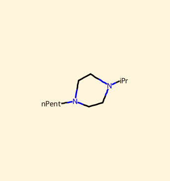 [CH2]CCCCN1CCN(C(C)C)CC1